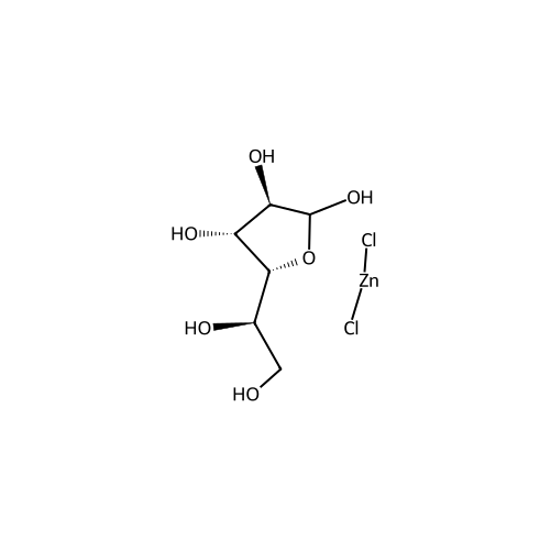 OC[C@@H](O)[C@H]1OC(O)[C@H](O)[C@H]1O.[Cl][Zn][Cl]